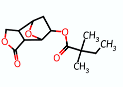 CCC(C)(C)C(=O)OC1CC2OC1C1C(=O)OCC21